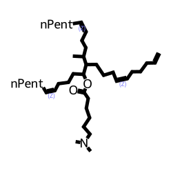 C=CCCC/C=C\CCCC(C(C)CC/C=C\CCCCC)C(CCC/C=C\CCCCC)OC(=O)CCCCCN(C)C